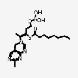 CCCCCCCC(=O)S/C(CCOP(O)O)=C(/C)N1C=Nc2nc(C)ncc2C1